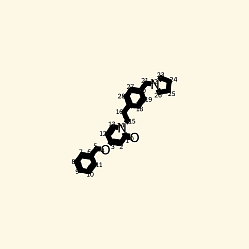 O=c1cc(OCc2ccccc2)ccn1CCc1ccc(CN2CCCC2)cc1